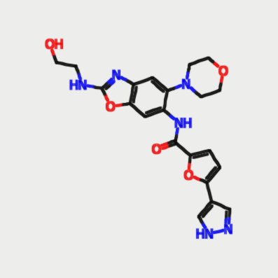 O=C(Nc1cc2oc(NCCO)nc2cc1N1CCOCC1)c1ccc(-c2cn[nH]c2)o1